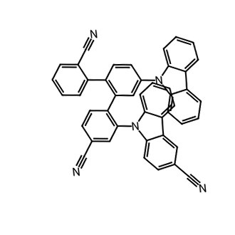 N#Cc1ccc(-c2cc(-n3c4ccccc4c4ccccc43)ccc2-c2ccccc2C#N)c(-n2c3ccccc3c3cc(C#N)ccc32)c1